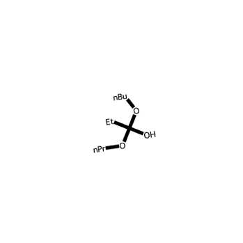 CCCCOC(O)(CC)OCCC